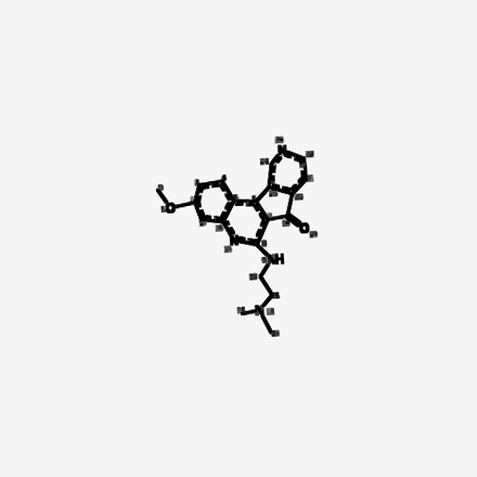 COc1ccc2c3c(c(NCCN(C)C)nc2c1)C(=O)c1ccncc1-3